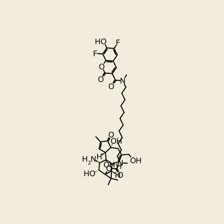 CC1=C[C@H]2[C@@]3(O)[C@H](N)[C@@H](O)[C@]4(OC(=O)N(C)CCCCCCCCCCCCN(C)C(=O)c5cc6cc(F)c(O)c(F)c6oc5=O)[C@H]([C@@H]3C=C(CO)C[C@]2(O)C1=O)C4(C)C